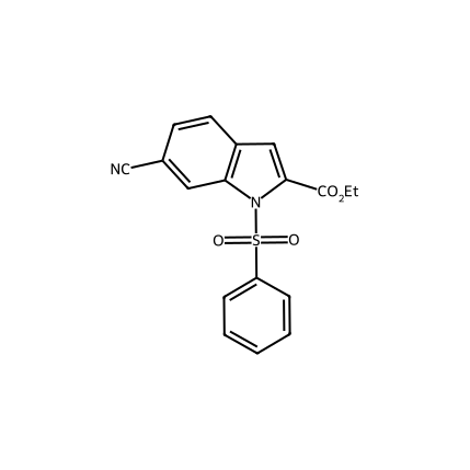 CCOC(=O)c1cc2ccc(C#N)cc2n1S(=O)(=O)c1ccccc1